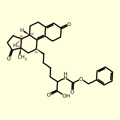 C[C@]12C[C@H](CCCCC(NC(=O)OCc3ccccc3)C(=O)O)C3=C4CCC(=O)C=C4CC[C@H]3[C@@H]1CCC2=O